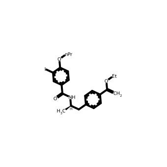 C=C(OCC)c1ccc(C[C@@H](C)NC(=O)c2ccc(OCCC)c(I)c2)cc1